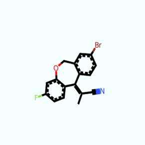 CC(C#N)=C1c2ccc(Br)cc2COc2cc(F)ccc21